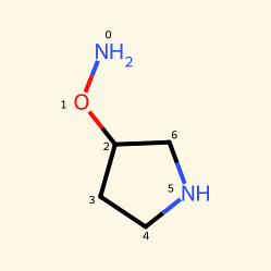 NOC1CCNC1